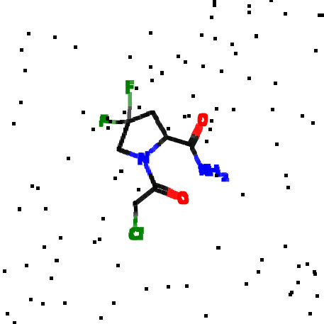 NC(=O)C1CC(F)(F)CN1C(=O)CCl